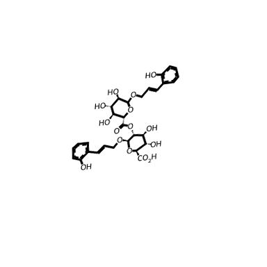 O=C(O)[C@H]1O[C@@H](OCC=Cc2ccccc2O)[C@H](OC(=O)[C@H]2OC(OCC=Cc3ccccc3O)[C@H](O)[C@@H](O)[C@@H]2O)[C@@H](O)[C@@H]1O